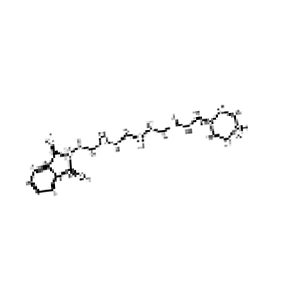 O=C1c2ccccc2C(=O)N1CCOCCOCCOCCN1CCNCC1